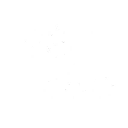 CCCc1nn2c(C)c(-c3ccccc3)nc2n1Cc1ccc(-c2ccccc2S(=O)(=O)NC(=O)c2ccccc2)cc1